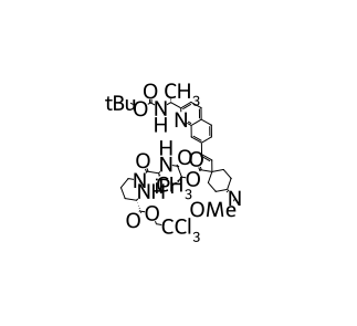 CON=C1CCC(/C=C/c2ccc3ccc([C@@H](C)NC(=O)OC(C)(C)C)nc3c2)(C(=O)O[C@H](C(=O)N[C@@H](C)C(=O)N2CCC[C@@H](C(=O)OCC(Cl)(Cl)Cl)N2)C(C)C)CC1